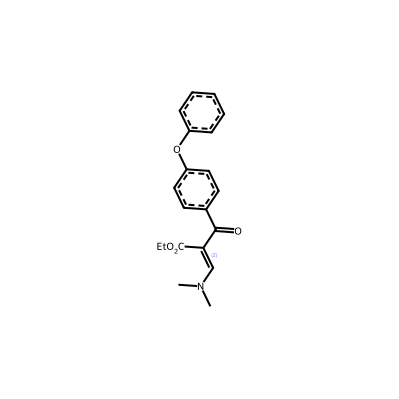 CCOC(=O)/C(=C\N(C)C)C(=O)c1ccc(Oc2ccccc2)cc1